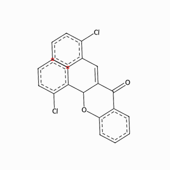 O=C1/C(=C/c2ccccc2Cl)C(c2ccccc2Cl)Oc2ccccc21